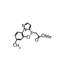 COC(=O)CSc1ccnn1-c1ccc(C)cc1Cl